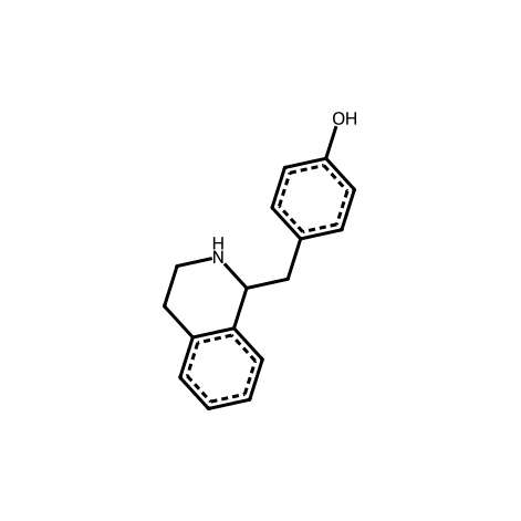 Oc1ccc(CC2NCCc3ccccc32)cc1